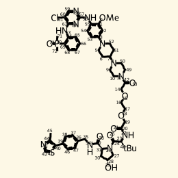 COc1cc(N2CCC(N3CCN(C(=O)COCCOCC(=O)N[C@H](C(=O)N4C[C@H](O)C[C@H]4C(=O)NCc4ccc(-c5scnc5C)cc4)C(C)(C)C)CC3)CC2)ccc1Nc1ncc(Cl)c(Nc2ccccc2P(C)(C)=O)n1